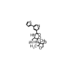 CC(C)CC(NC(=O)c1cncc(-c2cccs2)c1)C(=O)NC1(C)C(=O)COC1C